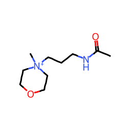 CC(=O)NCCC[N+]1(C)CCOCC1